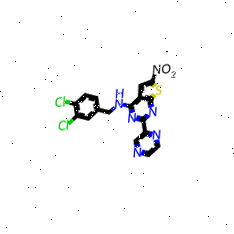 O=[N+]([O-])c1cc2c(NCc3ccc(Cl)c(Cl)c3)nc(-c3cnccn3)nc2s1